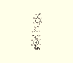 CCCc1ccc(CC[C@H]2CC[C@H]([C@H]3CC[Si@H](CCC)CC3)CC2)cc1